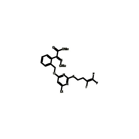 CCc1cc(OCc2ccccc2/C(=N\OC)C(=O)OC)nc(SCCC(F)=C(F)F)n1